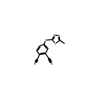 Cc1nnc(Sc2ccc(C#N)c(C#N)c2)s1